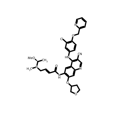 CO[C@@H](C)N(C)CC=CC(=O)Nc1cc2c(Nc3ccc(OCc4ccccn4)c(Cl)c3)c(C#N)cnc2cc1OC1CCOC1